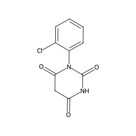 O=C1CC(=O)N(c2ccccc2Cl)C(=O)N1